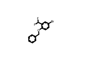 FC(F)c1cc(Br)ccc1OCc1ccccc1